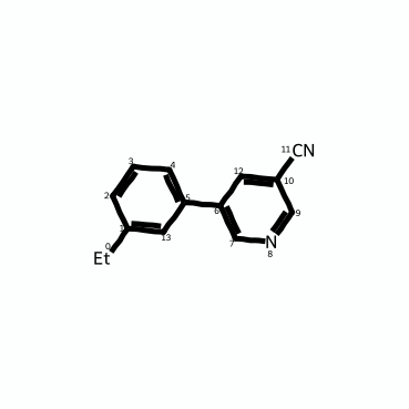 CCc1cccc(-c2cncc(C#N)c2)c1